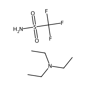 CCN(CC)CC.NS(=O)(=O)C(F)(F)F